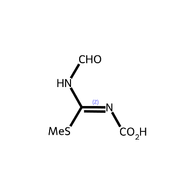 CS/C(=N\C(=O)O)NC=O